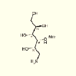 NC[C@H](O)[C@@H](O)[C@H](O)[C@H](O)CO.[Mn]